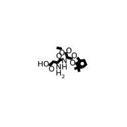 CCOC(=O)C(NC(=O)C(N)CC(=O)O)C(=O)OC1C2(C)CCC(C2)C1(C)C